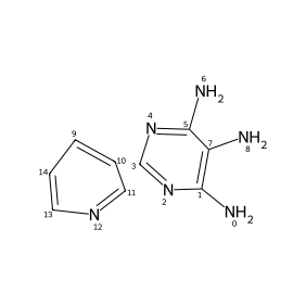 Nc1ncnc(N)c1N.c1ccncc1